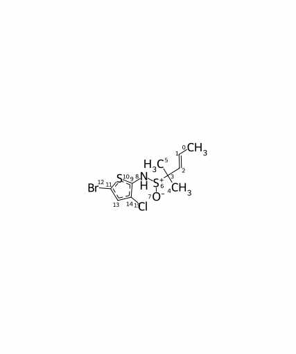 CC=CC(C)(C)[S+]([O-])Nc1sc(Br)cc1Cl